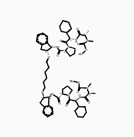 C[C@@H](C(=O)N[C@H](C(=O)N1CCC[C@H]1C(=O)N[C@H]1c2ccccc2C[C@H]1OCCCCCCO[C@@H]1Cc2ccccc2[C@@H]1NC(=O)[C@@H]1CCCN1C(=O)[C@@H](NC(=O)[C@H](C)N(C)C(=O)OC(C)(C)C)C1CCCCC1)C1CCCCC1)N(C)C(=O)OC(C)(C)C